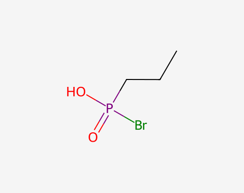 CCCP(=O)(O)Br